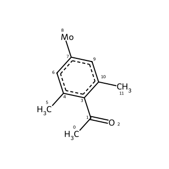 CC(=O)c1c(C)c[c]([Mo])cc1C